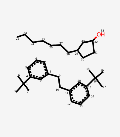 CC(C)(C)c1cccc(CCc2cccc(C(C)(C)C)c2)c1.CCCCCCCC1CCC(O)C1